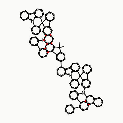 CC1(C)c2ccc(-c3cccc4c3c3cccc5c3n4-c3ccccc3C53c4ccccc4-c4ccc(N(c5ccc6ccccc6c5)c5ccccc5-c5ccccc5-c5ccccc5)cc43)cc2-c2ccc(N(c3ccc4c(c3)C3(c5ccccc5-4)c4ccccc4-n4c5ccccc5c5cccc3c54)c3ccccc3-c3ccccc3-c3ccccc3)cc21